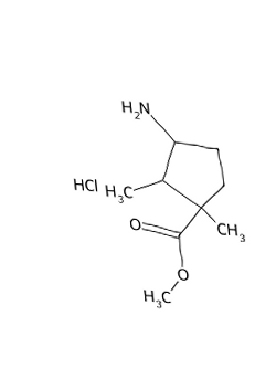 COC(=O)C1(C)CCC(N)C1C.Cl